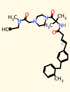 C#CCN(C)C(=O)CN1CCN(C(=O)C(C)(C)NC(=O)C/C=C/c2ccc(Cc3ccccc3C)cc2)CC1